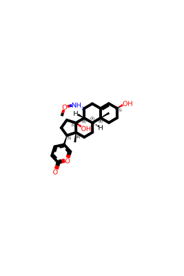 CON.C[C@]12CC[C@H](O)C=C1CC[C@@H]1[C@@H]2CC[C@]2(C)[C@@H](c3ccc(=O)oc3)CC[C@]12O